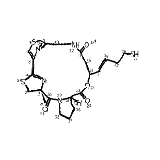 C[C@@]12CSC(=N1)c1csc(n1)CNC(=O)CC(/C=C/CCS)OC(=O)[C@@H]1CCCN1C2=O